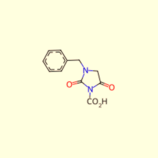 O=C(O)N1C(=O)CN(Cc2ccccc2)C1=O